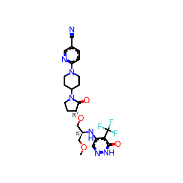 COC[C@@H](CO[C@@H]1CCN(C2CCN(c3ccc(C#N)cn3)CC2)C1=O)Nc1cn[nH]c(=O)c1C(F)(F)F